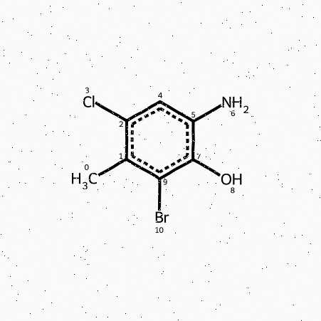 Cc1c(Cl)cc(N)c(O)c1Br